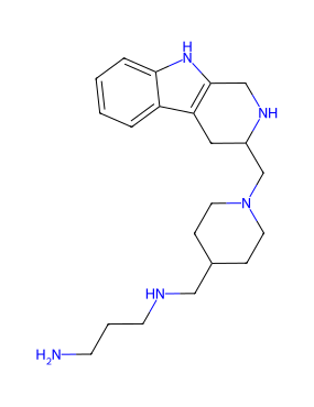 NCCCNCC1CCN(CC2Cc3c([nH]c4ccccc34)CN2)CC1